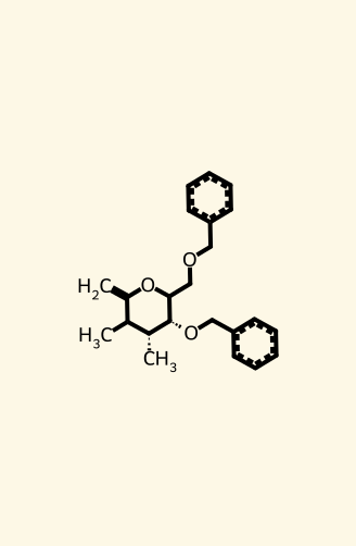 C=C1OC(COCc2ccccc2)[C@H](OCc2ccccc2)[C@H](C)C1C